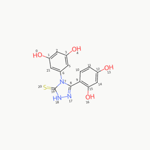 Oc1cc(O)cc(-n2c(-c3ccc(O)cc3O)n[nH]c2=S)c1